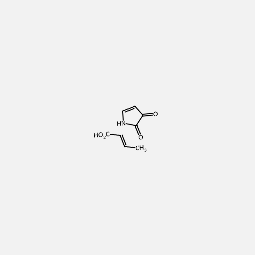 C/C=C/C(=O)O.O=C1C=CNC1=O